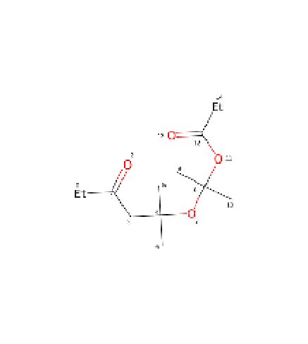 CCC(=O)CC(C)(C)OC(C)(C)OC(=O)CC